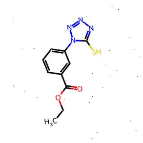 CCOC(=O)c1cccc(-n2nnnc2S)c1